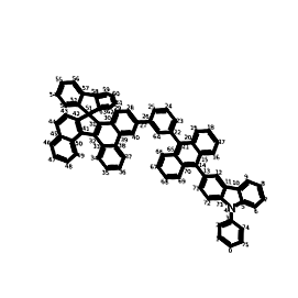 c1ccc(-n2c3ccccc3c3cc(-c4c5ccccc5c(-c5cccc(-c6ccc7c8c(c9ccccc9c7c6)-c6c(ccc7ccccc67)C86c7ccccc7-c7ccccc76)c5)c5ccccc45)ccc32)cc1